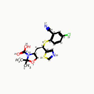 CC1(C)OC[C@H](C[C@@H](Sc2ccc(Cl)cc2C#N)c2cncs2)N1C(=O)O